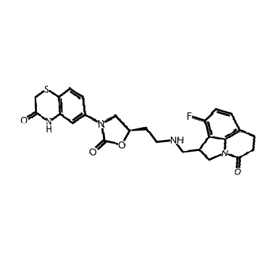 O=C1CSc2ccc(N3C[C@@H](CCNCC4CN5C(=O)CCc6ccc(F)c4c65)OC3=O)cc2N1